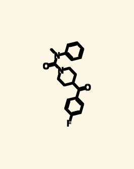 CN(C(=O)N1CCC(C(=O)c2ccc(F)cc2)CC1)c1ccccc1